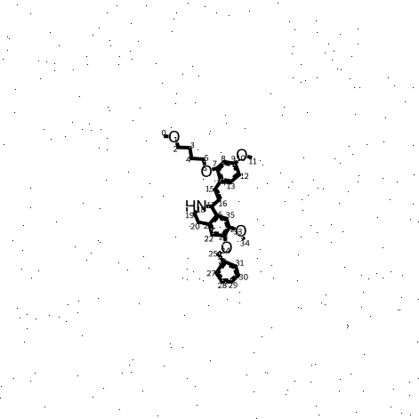 COCCCCOc1cc(OC)ccc1C=CC1NCCc2cc(OCc3ccccc3)c(OC)cc21